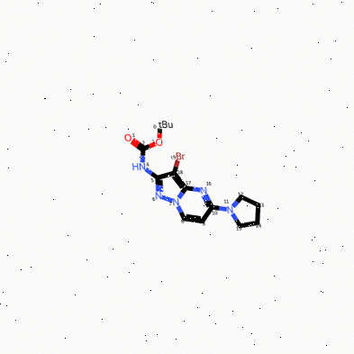 CC(C)(C)OC(=O)Nc1nn2ccc(N3CCCC3)nc2c1Br